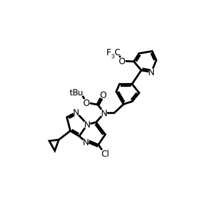 CC(C)(C)OC(=O)N(Cc1ccc(-c2ncccc2OC(F)(F)F)cc1)c1cc(Cl)nc2c(C3CC3)cnn12